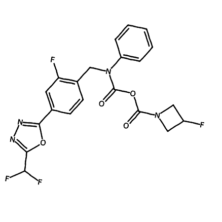 O=C(OC(=O)N(Cc1ccc(-c2nnc(C(F)F)o2)cc1F)c1ccccc1)N1CC(F)C1